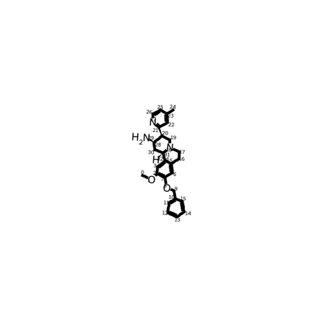 COc1cc2c(cc1OCc1ccccc1)CCN1C[C@H](c3cc(C)ccn3)[C@H](N)C[C@H]21